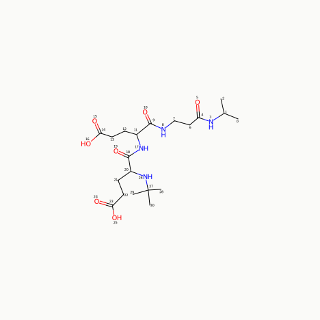 CC(C)NC(=O)CCNC(=O)C(CCC(=O)O)NC(=O)C(CCC(=O)O)NC(C)(C)C